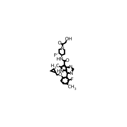 Cc1ccc(OCC2CC2)c(-c2ncnc3c(C(=O)N[C@@H]4CCN(C(=O)CO)C[C@H]4F)c(C)[nH]c23)c1F